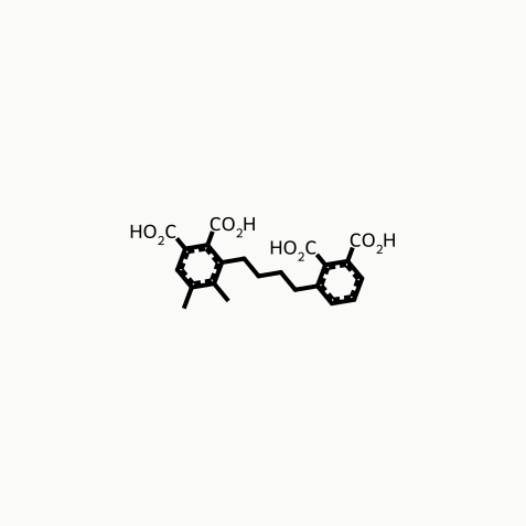 Cc1cc(C(=O)O)c(C(=O)O)c(CCCCc2cccc(C(=O)O)c2C(=O)O)c1C